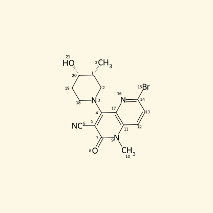 C[C@@H]1CN(c2c(C#N)c(=O)n(C)c3ccc(Br)nc23)CC[C@@H]1O